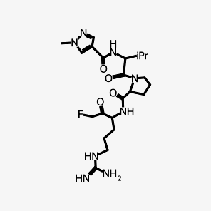 CC(C)C(NC(=O)c1cnn(C)c1)C(=O)N1CCCC1C(=O)NC(CCCNC(=N)N)C(=O)CF